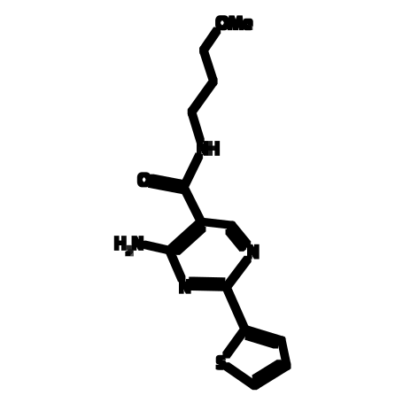 COCCCNC(=O)c1cnc(-c2cccs2)nc1N